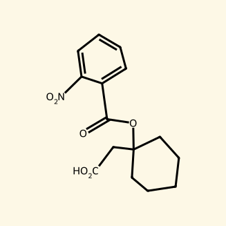 O=C(O)CC1(OC(=O)c2ccccc2[N+](=O)[O-])CCCCC1